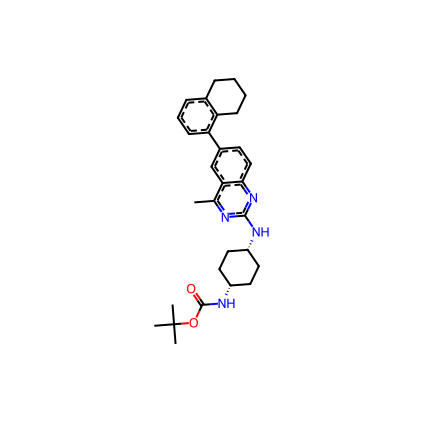 Cc1nc(N[C@H]2CC[C@@H](NC(=O)OC(C)(C)C)CC2)nc2ccc(-c3cccc4c3CCCC4)cc12